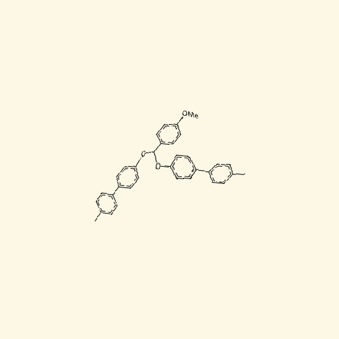 COc1ccc(C(Oc2ccc(-c3ccc(C)cc3)cc2)Oc2ccc(-c3ccc(C)cc3)cc2)cc1